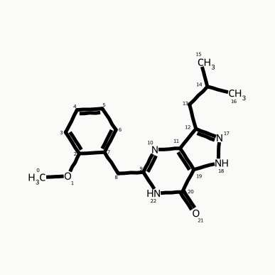 COc1ccccc1Cc1nc2c(CC(C)C)n[nH]c2c(=O)[nH]1